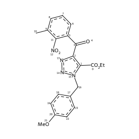 CCOC(=O)c1c(C(=O)c2cccc(C)c2[N+](=O)[O-])nnn1Cc1ccc(OC)cc1